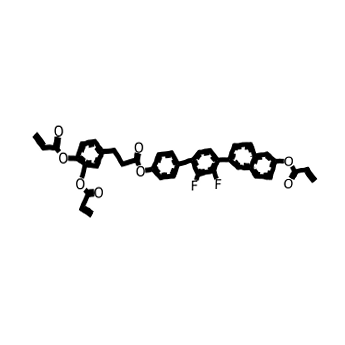 C=CC(=O)Oc1ccc2cc(-c3ccc(-c4ccc(OC(=O)CCc5ccc(OC(=O)C=C)c(OC(=O)C=C)c5)cc4)c(F)c3F)ccc2c1